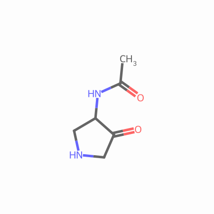 CC(=O)NC1CNCC1=O